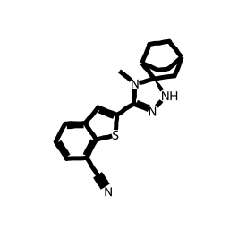 CN1C(c2cc3cccc(C#N)c3s2)=NN[C@@]12CC1CCC2CC1